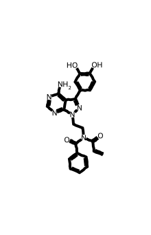 C=CC(=O)N(CCn1nc(-c2ccc(O)c(O)c2)c2c(N)ncnc21)C(=O)c1ccccc1